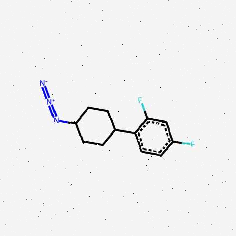 [N-]=[N+]=NC1CCC(c2ccc(F)cc2F)CC1